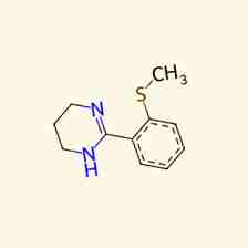 CSc1ccccc1C1=NCCCN1